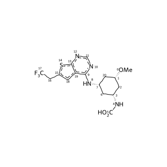 CO[C@@H]1C[C@H](NC(=O)O)C[C@H](Nc2ncnc3sc(CC(F)(F)F)cc23)C1